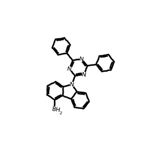 Bc1cccc2c1c1ccccc1n2-c1nc(-c2ccccc2)nc(-c2ccccc2)n1